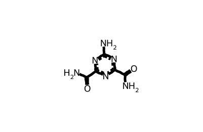 NC(=O)c1nc(N)nc(C(N)=O)n1